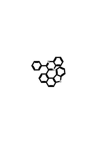 c1ccc(-c2nc3ccccc3nc2-c2cccc3ccc4sc5ccccc5c4c23)cc1